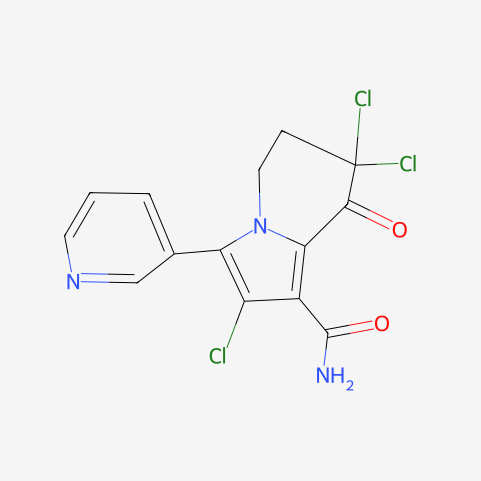 NC(=O)c1c(Cl)c(-c2cccnc2)n2c1C(=O)C(Cl)(Cl)CC2